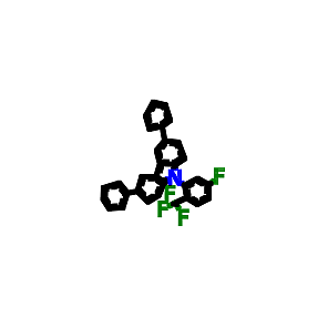 Fc1ccc(C(F)(F)F)c(-n2c3ccc(-c4ccccc4)cc3c3cc(-c4ccccc4)ccc32)c1